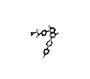 Cc1nc(N2CCN(c3ccc(F)cc3)CC2)nc2c1ccc(=O)n2-c1ccc(C(=O)NC2CC2)cc1